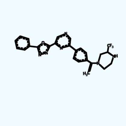 C=C(c1ccc(-c2cncc(-c3nnc(-c4ccccc4)o3)n2)cc1)N1CCNC(C(F)(F)F)C1